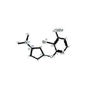 COc1ccnc(O[C@H]2CC[C@@H](N(C)C)C2)c1Br